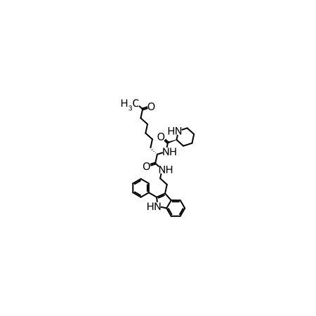 CC(=O)CCCCC[C@H](NC(=O)[C@@H]1CCCCN1)C(=O)NCCc1c(-c2ccccc2)[nH]c2ccccc12